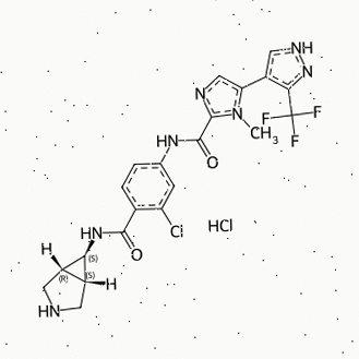 Cl.Cn1c(-c2c[nH]nc2C(F)(F)F)cnc1C(=O)Nc1ccc(C(=O)N[C@H]2[C@@H]3CNC[C@@H]32)c(Cl)c1